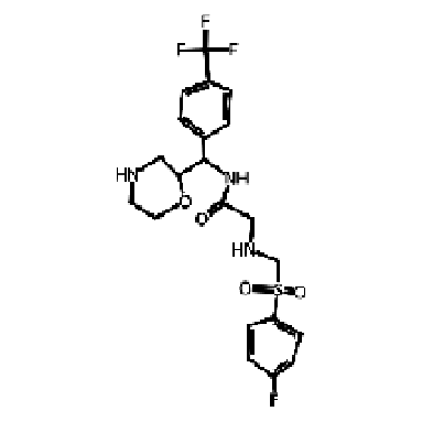 O=C(CNCS(=O)(=O)c1ccc(F)cc1)NC(c1ccc(C(F)(F)F)cc1)C1CNCCO1